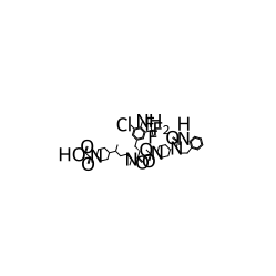 CC(CCN(C)C(=O)[C@@H](Cc1cc(Cl)c(N)c(C(F)(F)F)c1)OC(=O)N1CCC(N2CCc3ccccc3NC2=O)CC1)C1CCN(C(=O)C(=O)O)CC1